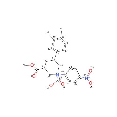 COC(=O)C1CC(c2ccc(C)c(C)c2)C[N+](C(=O)[O-])(c2ccc([N+](=O)[O-])cc2)C1